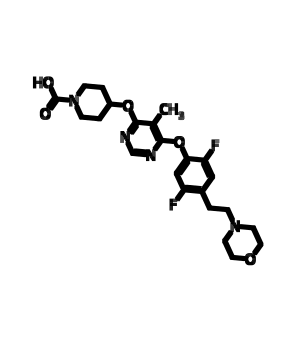 Cc1c(Oc2cc(F)c(CCN3CCOCC3)cc2F)ncnc1OC1CCN(C(=O)O)CC1